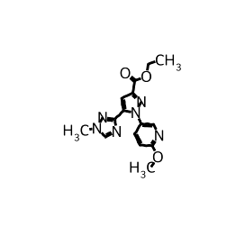 CCOC(=O)c1cc(-c2ncn(C)n2)n(-c2ccc(OC)nc2)n1